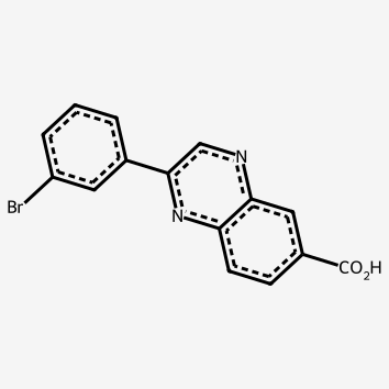 O=C(O)c1ccc2nc(-c3cccc(Br)c3)cnc2c1